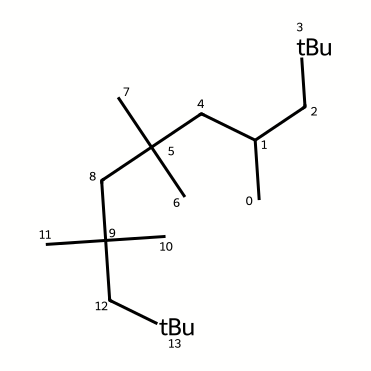 CC(CC(C)(C)C)CC(C)(C)CC(C)(C)CC(C)(C)C